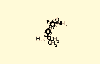 C=CCC(CC)(CC)c1ccc(Oc2ncc(C(N)=O)cc2F)cc1